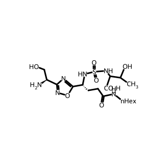 CCCCCCNC(=O)CC[C@@H](NS(=O)(=O)NC(C(=O)O)C(C)O)c1nc([C@@H](N)CO)no1